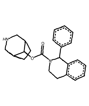 O=C(OC1C2CCC1CNC2)N1CCc2ccccc2C1c1ccccc1